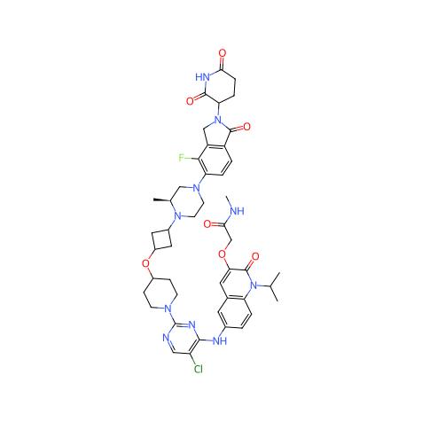 CNC(=O)COc1cc2cc(Nc3nc(N4CCC(OC5CC(N6CCN(c7ccc8c(c7F)CN(C7CCC(=O)NC7=O)C8=O)C[C@@H]6C)C5)CC4)ncc3Cl)ccc2n(C(C)C)c1=O